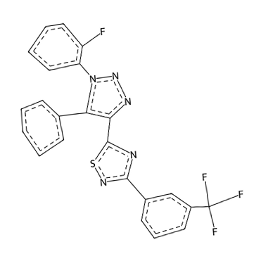 Fc1ccccc1-n1nnc(-c2nc(-c3cccc(C(F)(F)F)c3)ns2)c1-c1ccccc1